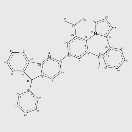 CC(C)c1cc(-c2ccc3c(n2)-c2ccccc2C3c2ccccc2)cc(C(C)C)c1-n1cccc1-c1ccccc1